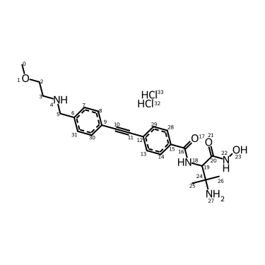 COCCNCc1ccc(C#Cc2ccc(C(=O)NC(C(=O)NO)C(C)(C)N)cc2)cc1.Cl.Cl